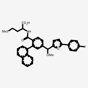 COC(c1ccc(C(=O)NC(CCSC)C(=O)O)c(-c2cccc3ccccc23)c1)c1ccc(-c2ccc(F)cc2)o1